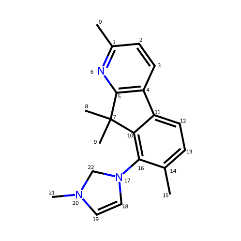 Cc1ccc2c(n1)C(C)(C)c1c-2ccc(C)c1N1C=CN(C)C1